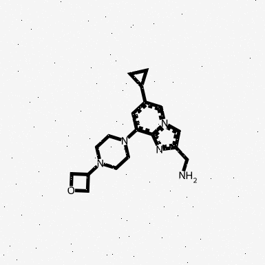 NCc1cn2cc(C3CC3)cc(N3CCN(C4COC4)CC3)c2n1